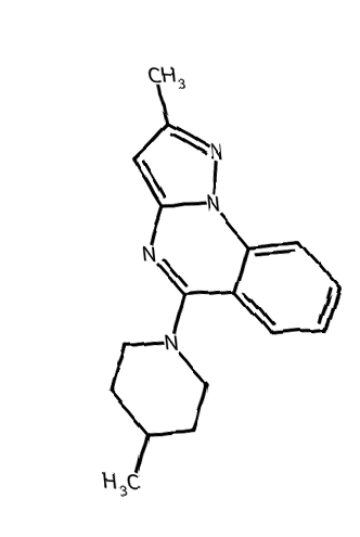 Cc1cc2nc(N3CCC(C)CC3)c3ccccc3n2n1